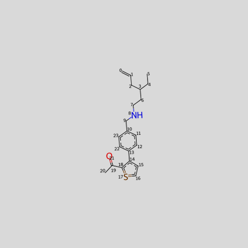 C=CCC(CC)CCNCc1ccc(-c2ccsc2C(C)=O)cc1